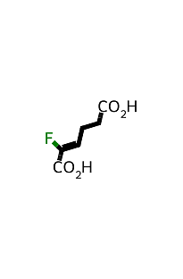 O=C(O)CC/C=C(\F)C(=O)O